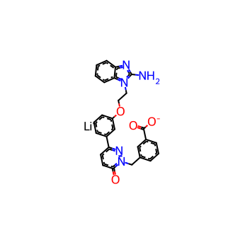 Nc1nc2ccccc2n1CCOc1cccc(-c2ccc(=O)n(Cc3cccc(C(=O)[O-])c3)n2)c1.[Li+]